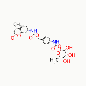 Cc1cc(=O)oc2cc(NC(=O)OCc3ccc(NC(=O)O[C@@H]4O[C@@H](C)[C@@H](O)[C@@H](O)[C@@H]4O)cc3)ccc12